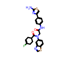 Nc1nc(-c2ccc(NC(=O)CN(C(=O)C3CC=C(F)CC3)c3ccc4scnc4c3)cc2)cs1